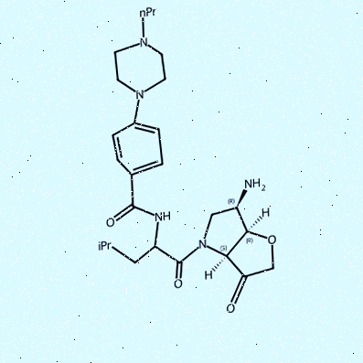 CCCN1CCN(c2ccc(C(=O)NC(CC(C)C)C(=O)N3C[C@@H](N)[C@H]4OCC(=O)[C@H]43)cc2)CC1